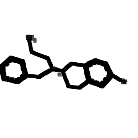 CCCN(Cc1ccccc1)[C@@H]1CCc2cc(Br)ccc2C1